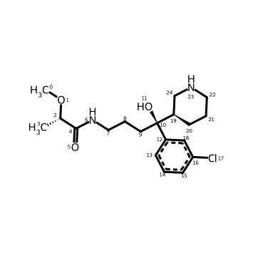 CO[C@@H](C)C(=O)NCCC[C@@](O)(c1cccc(Cl)c1)[C@@H]1CCCNC1